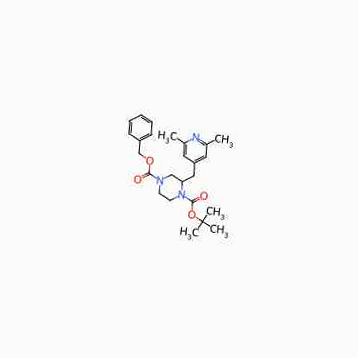 Cc1cc(CC2CN(C(=O)OCc3ccccc3)CCN2C(=O)OC(C)(C)C)cc(C)n1